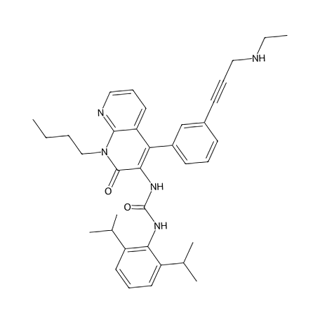 CCCCn1c(=O)c(NC(=O)Nc2c(C(C)C)cccc2C(C)C)c(-c2cccc(C#CCNCC)c2)c2cccnc21